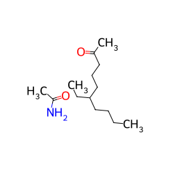 CC(N)=O.CCCCC(CC)CCCC(C)=O